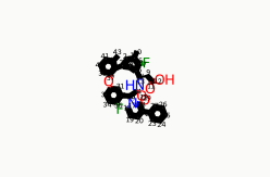 Cc1cc2cc(c1F)[C@@H](CC(=O)O)NC(=O)[C@H](n1cccc(-c3ccccc3)c1=O)c1cc(ccc1F)Oc1cccc(C)c1-2